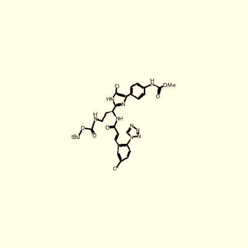 COC(=O)Nc1ccc(-c2nc([C@H](CCNC(=O)OC(C)(C)C)NC(=O)C=Cc3cc(Cl)ccc3-n3cnnn3)[nH]c2Cl)cc1